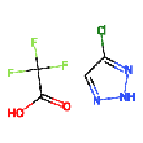 Clc1cn[nH]n1.O=C(O)C(F)(F)F